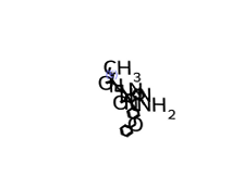 C/C=C/C(=O)N1CC(n2c(=O)n(-c3ccc(Oc4ccccc4)cc3)c3c(N)ncnc32)C1